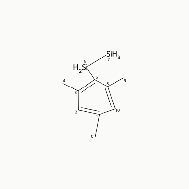 Cc1cc(C)c([SiH2][SiH3])c(C)c1